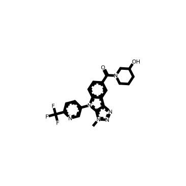 Cn1nnc2c3cc(C(=O)N4CCCC(O)C4)ccc3n(-c3ccc(C(F)(F)F)nc3)c21